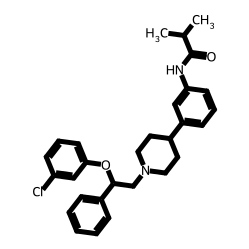 CC(C)C(=O)Nc1cccc(C2CCN(CC(Oc3cccc(Cl)c3)c3ccccc3)CC2)c1